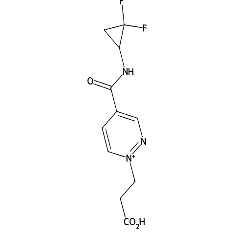 O=C(O)CC[n+]1ccc(C(=O)NC2CC2(F)F)cn1